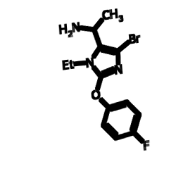 CCn1c(Oc2ccc(F)cc2)nc(Br)c1C(C)N